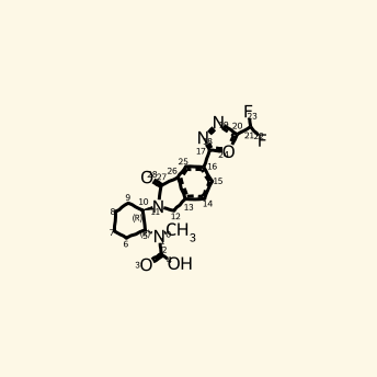 CN(C(=O)O)[C@@H]1CCCC[C@H]1N1Cc2ccc(-c3nnc(C(F)F)o3)cc2C1=O